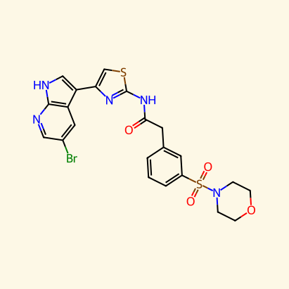 O=C(Cc1cccc(S(=O)(=O)N2CCOCC2)c1)Nc1nc(-c2c[nH]c3ncc(Br)cc23)cs1